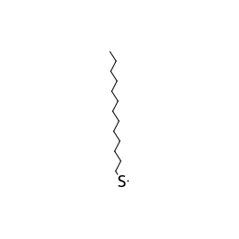 CCCCCCCCCCCCC[S]